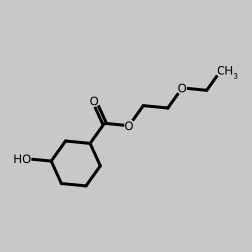 CCOCCOC(=O)C1CCCC(O)C1